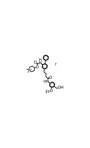 CCOc1cc(NC(=O)CCCc2ccc(-c3ccccc3)c(NC(=O)OC3CC[N+](C)(C)CC3)c2)ccc1CO.[I-]